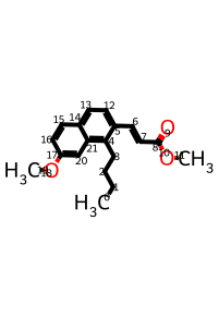 CCCCc1c(C=CC(=O)OC)ccc2ccc(OC)cc12